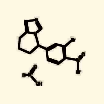 O=[N+]([O-])O.O=[N+]([O-])c1ccc(C2CCCc3cncn32)cc1Br